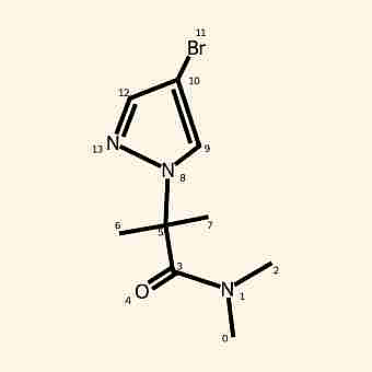 CN(C)C(=O)C(C)(C)n1cc(Br)cn1